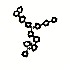 CC12C=CC=CC1N(c1ccccc1)c1cccc(-c3cccc(-c4cccc(N(c5ccc(-c6ccc(C7=CC=CC8C=CC=CC78)cc6)cc5)c5ccc(-c6ccc(-c7ccccc7)cc6)cc5)c4)c3)c12